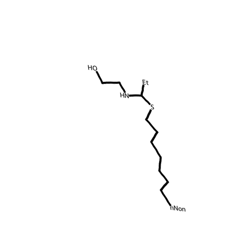 CCCCCCCCCCCCCCCCSC(CC)NCCO